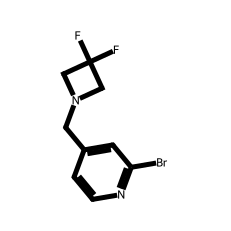 FC1(F)CN(Cc2ccnc(Br)c2)C1